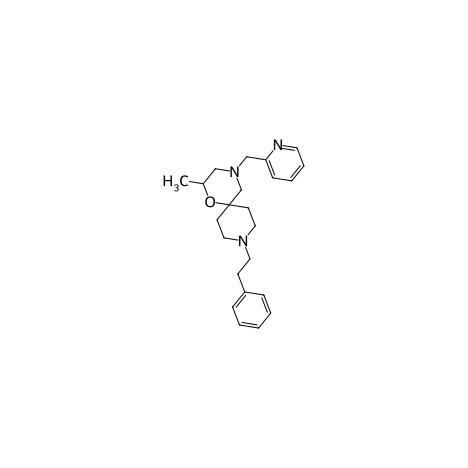 CC1CN(Cc2ccccn2)CC2(CCN(CCc3ccccc3)CC2)O1